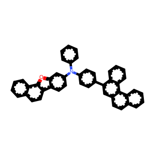 c1ccc(N(c2ccc(-c3cc4ccc5ccccc5c4c4ccccc34)cc2)c2ccc3c(c2)oc2c4ccccc4ccc32)cc1